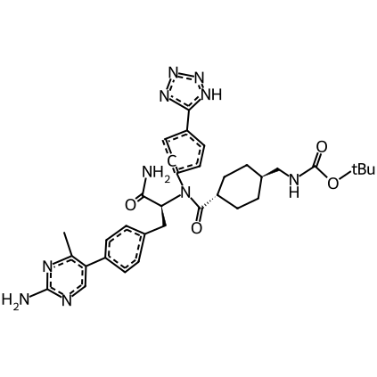 Cc1nc(N)ncc1-c1ccc(C[C@@H](C(N)=O)N(c2ccc(-c3nnn[nH]3)cc2)C(=O)[C@H]2CC[C@H](CNC(=O)OC(C)(C)C)CC2)cc1